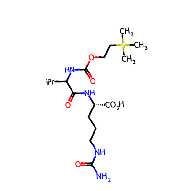 CC(C)C(NC(=O)OCCS(C)(C)C)C(=O)N[C@@H](CCCNC(N)=O)C(=O)O